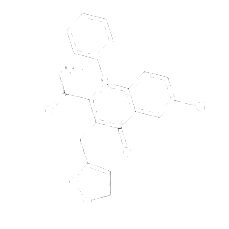 COC(=O)c1c(CC2=CCOO2)c(=O)c2cc(Cl)ccc2n1-c1ccccc1